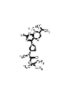 CC(C)C1COc2c(N3CC[C@@H](N(C)C(=O)OC(C)(C)C)C3)nc(Cl)nc2N1C